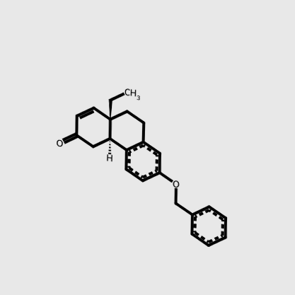 CC[C@]12C=CC(=O)C[C@@H]1c1ccc(OCc3ccccc3)cc1CC2